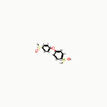 C[S+]([O-])c1ccc(Oc2ccc([S+](C)[O-])cc2)cc1